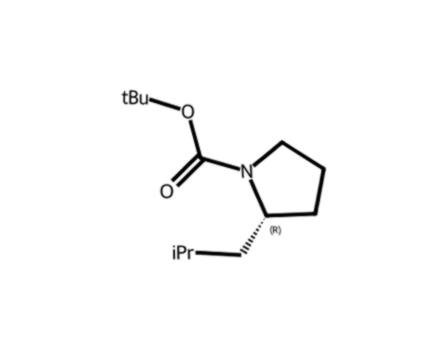 CC(C)C[C@H]1CCCN1C(=O)OC(C)(C)C